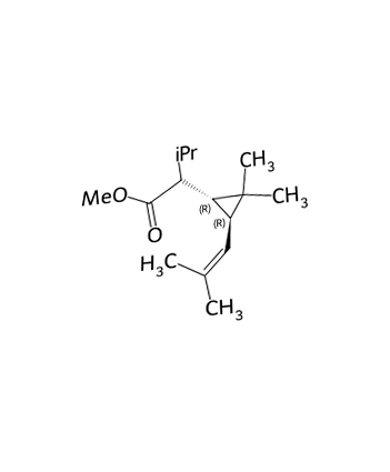 COC(=O)C(C(C)C)[C@H]1[C@H](C=C(C)C)C1(C)C